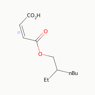 CCCCC(CC)COC(=O)/C=C\C(=O)O